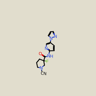 N#CN1CCCC(F)(C(=O)Nc2ccc(-n3cccn3)cn2)C1